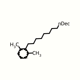 CCCCCCCCCCCCCCCCCCc1c(C)[c]ccc1C